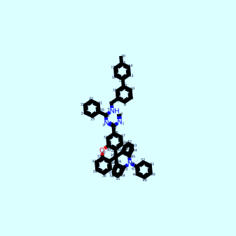 C=N/C(=N\C(NCc1cccc(-c2ccc(C)cc2)c1)c1ccccc1)c1ccc2c(c1)Oc1ccccc1C21c2ccccc2N(c2ccccc2)c2ccccc21